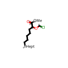 CCCCCCCCCCCCC(OCCl)C(=O)OC